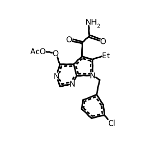 CCc1c(C(=O)C(N)=O)c2c(OOC(C)=O)ncnc2n1Cc1cccc(Cl)c1